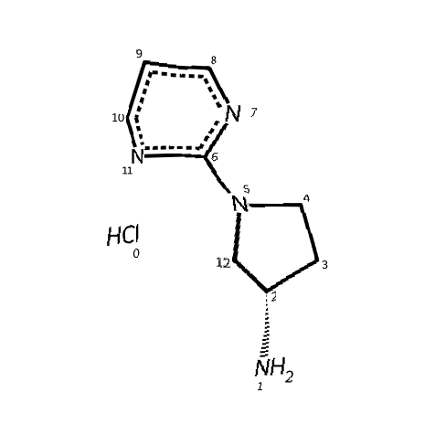 Cl.N[C@H]1CCN(c2ncccn2)C1